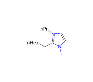 CCCCCCCc1n(C)cc[n+]1CCC